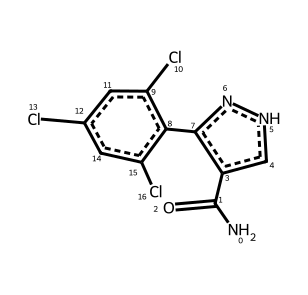 NC(=O)c1c[nH]nc1-c1c(Cl)cc(Cl)cc1Cl